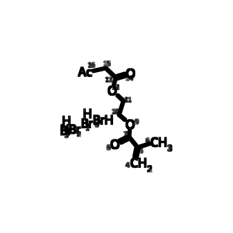 Br.Br.Br.Br.C=C(C)C(=O)OCCOC(=O)CC(C)=O